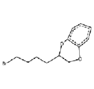 BrCCCCC1COc2ccccc2O1